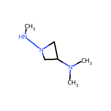 CNN1CC(N(C)C)C1